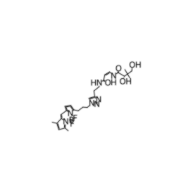 CC1=CC(C)=[N+]2C1=Cc1ccc(CCCn3cc(CCNC(=O)/C=C\NC(=O)[C@@H](O)C(C)(C)CO)nn3)n1[B-]2(F)F